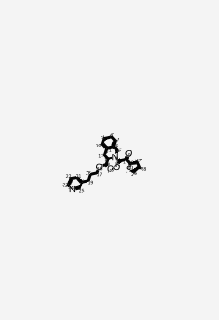 O=C(C(=O)N1Cc2ccccc2CC1C(=O)OCCCc1cccnc1)c1cccs1